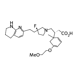 COCCOC1=CC=CC(C)([C@@H](CC(=O)O)CN2CC[C@](F)(CCc3ccc4c(n3)NCCC4)C2)C1